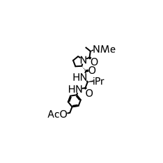 CN[C@H](C)C(=O)N1CCC[C@H]1C(=O)N[C@H](C(=O)Nc1ccc(COC(C)=O)cc1)C(C)C